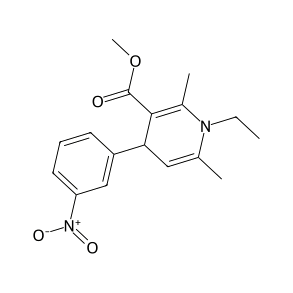 CCN1C(C)=CC(c2cccc([N+](=O)[O-])c2)C(C(=O)OC)=C1C